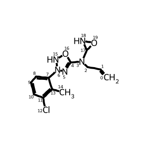 C=CCN(C1=NN(c2cccc(Cl)c2C)NO1)C1NO1